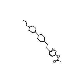 CCCC1CCC(C2CCC(CCc3ccc(OC(C)=O)cn3)CC2)CC1